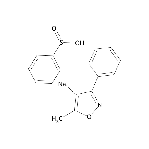 Cc1onc(-c2ccccc2)[c]1[Na].O=S(O)c1ccccc1